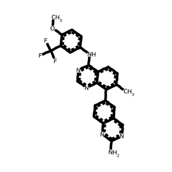 COc1ccc(Nc2ncnc3c(-c4ccc5nc(N)ncc5c4)c(C)ccc23)cc1C(F)(F)F